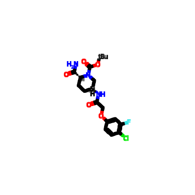 CC(C)(C)OC(=O)N1C[Si@@H](NC(=O)COc2ccc(Cl)c(F)c2)CC[C@@H]1C(N)=O